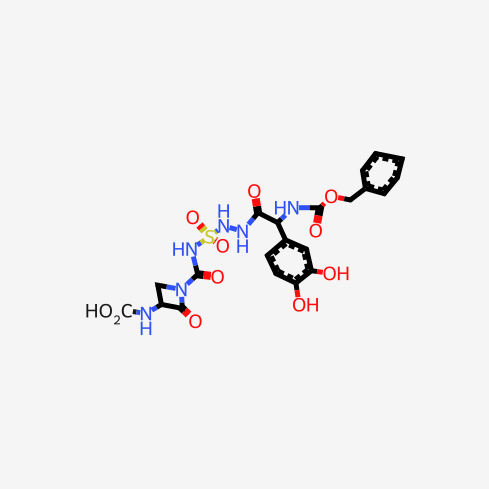 O=C(O)NC1CN(C(=O)NS(=O)(=O)NNC(=O)C(NC(=O)OCc2ccccc2)c2ccc(O)c(O)c2)C1=O